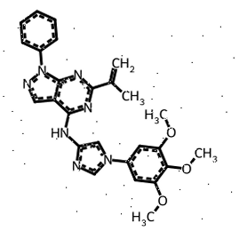 C=C(C)c1nc(Nc2cn(-c3cc(OC)c(OC)c(OC)c3)cn2)c2cnn(-c3ccccc3)c2n1